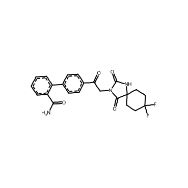 NC(=O)c1ccccc1-c1ccc(C(=O)CN2C(=O)NC3(CCC(F)(F)CC3)C2=O)cc1